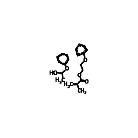 C=C(C)C(=O)OCCOc1ccccc1.CC(O)Oc1ccccc1